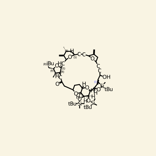 C=C1CC2CCC(O)/C=C/[C@H](O[Si](C)(C)C(C)(C)C)[C@@H]3O[C@H]4CCC(CC(=O)C[C@@H]5[C@@H](C)[C@@H](C[C@H](C)CC)O[C@H]5CC5O[C@@H](CCC1O2)C[C@@H](C)C5=C)O[C@@H]4[C@H](O[Si](C)(C)C(C)(C)C)[C@@H]3O[Si](C)(C)C(C)(C)C